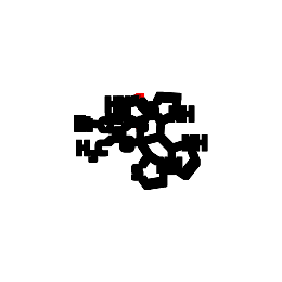 CCO[Si](C)(OC(C1NC=CS1)(C1NC=CS1)C(C1NC=CS1)C1NC=CS1)C1NC=CS1